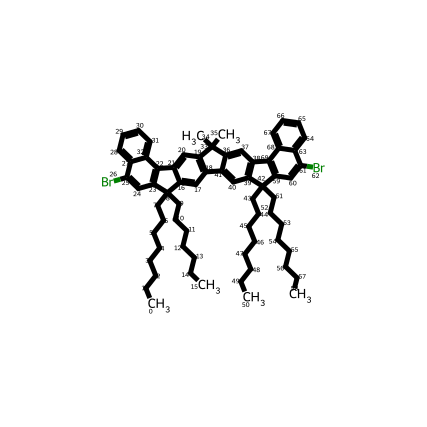 CCCCCCCCC1(CCCCCCC)c2cc3c(cc2-c2c1cc(Br)c1ccccc21)C(C)(C)c1cc2c(cc1-3)C(CCCCCCCC)(CCCCCCCC)c1cc(Br)c3ccccc3c1-2